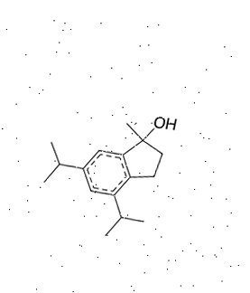 CC(C)c1cc(C(C)C)c2c(c1)C(C)(O)CC2